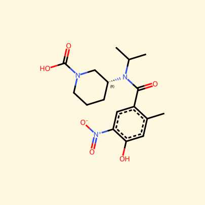 Cc1cc(O)c([N+](=O)[O-])cc1C(=O)N(C(C)C)[C@@H]1CCCN(C(=O)O)C1